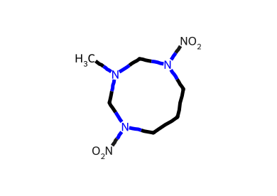 CN1CN([N+](=O)[O-])CCCN([N+](=O)[O-])C1